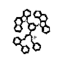 C(/Cc1ccccc1-c1ccccc1)=C(/NCc1ccccc1)c1cc(-n2c3ccccc3c3ccc4ccccc4c32)cc(-n2c3ccccc3c3ccc4ccccc4c32)c1